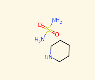 C1CCNCC1.NS(N)(=O)=O